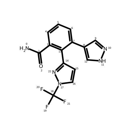 NC(=O)c1cccc(-c2cn[nH]c2)c1-c1ccn(C(F)(F)F)n1